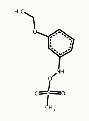 CCOc1cccc(NOS(C)(=O)=O)c1